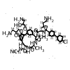 C[C@@H]1NC(=O)[C@@H](N(C)C(=O)[C@H](CCCCN)NC(=O)c2ccc(-c3ccc(Cl)cc3)cc2)c2ccc(OCC(O)CN)c(c2)-c2cc(ccc2OCC(O)CN)C[C@@H](C(=O)NCC#N)NC1=O